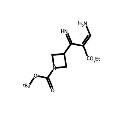 CCOC(=O)/C(=C/N)C(=N)C1CN(C(=O)OC(C)(C)C)C1